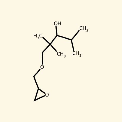 CC(C)C(O)C(C)(C)COCC1CO1